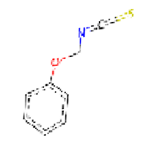 S=C=NCOc1ccccc1